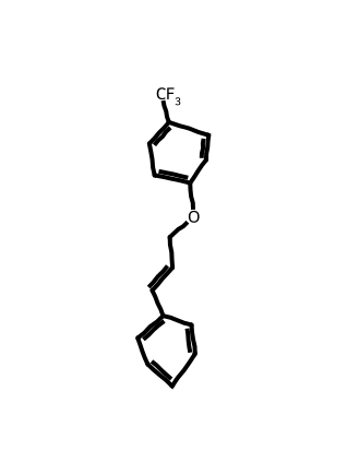 FC(F)(F)c1ccc(OCC=Cc2ccccc2)cc1